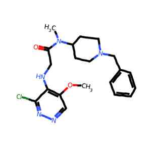 COc1cnnc(Cl)c1NCC(=O)N(C)C1CCN(Cc2ccccc2)CC1